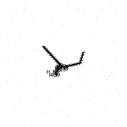 CCCCCCCC/C=C\CCCCCCCCCC(=O)OC[C@H](COP(=O)(O)OC[C@H](N)C(=O)O)OC(=O)CCCCCCCCCCCCCCCCCC